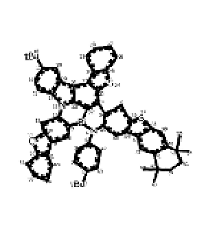 CC(C)(C)c1ccc(N2B3c4cc5c(cc4-n4c6ccc(C(C)(C)C)cc6c6c7c(sc8ccccc87)c(c3c64)-c3cc4sc6cc7c(cc6c4cc32)C(C)(C)CCC7(C)C)oc2ccccc25)cc1